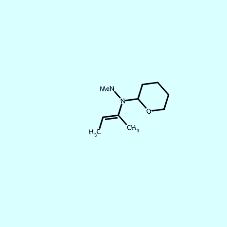 C/C=C(\C)N(NC)C1CCCCO1